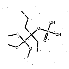 CCCC(CC)(OP(=O)(O)O)[Si](OC)(OC)OC